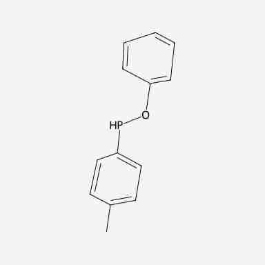 Cc1ccc(POc2ccccc2)cc1